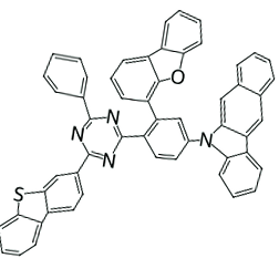 c1ccc(-c2nc(-c3ccc4c(c3)sc3ccccc34)nc(-c3ccc(-n4c5ccccc5c5cc6ccccc6cc54)cc3-c3cccc4c3oc3ccccc34)n2)cc1